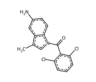 Cc1cn(C(=O)c2c(Cl)cccc2Cl)c2ccc(N)cc12